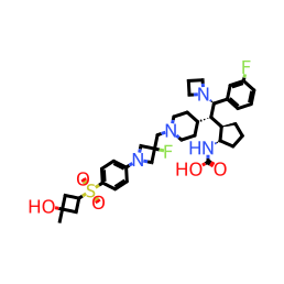 CC1(O)CC(S(=O)(=O)c2ccc(N3CC(F)(CN4CCC([C@@H]([C@H]5CCC[C@@H]5NC(=O)O)[C@@H](c5cccc(F)c5)N5CCC5)CC4)C3)cc2)C1